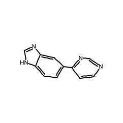 [c]1cc(-c2ccc3[nH]cnc3c2)ncn1